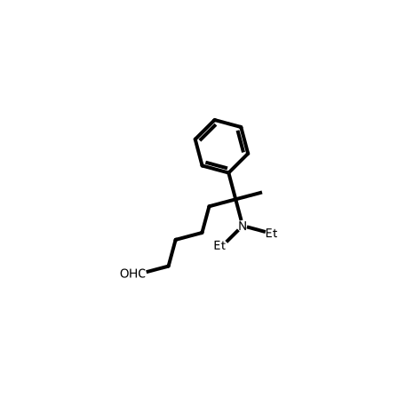 CCN(CC)C(C)(CCCCC=O)c1ccccc1